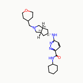 O=C(NC1CCCCC1)c1ccc(N[C@@H]2C[C@@H]3CN(CC4CCOCC4)C[C@@H]3C2)nn1